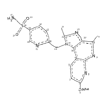 COc1ccc2c(n1)nc(C)c1nc(C)n(Cc3ccc(S(N)(=O)=O)cn3)c12